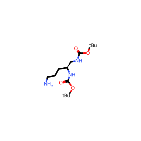 CC(C)(C)OC(=O)NC[C@H](CCCN)NC(=O)OC(C)(C)C